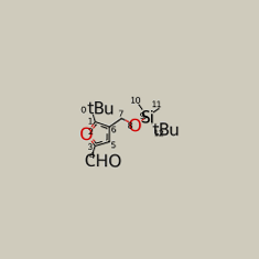 CC(C)(C)c1oc(C=O)cc1CO[Si](C)(C)C(C)(C)C